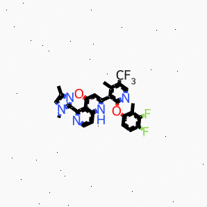 Cc1cn(C)c(-c2nccc3[nH]c(-c4c(Oc5ccc(F)c(F)c5C)ncc(C(F)(F)F)c4C)cc(=O)c23)n1